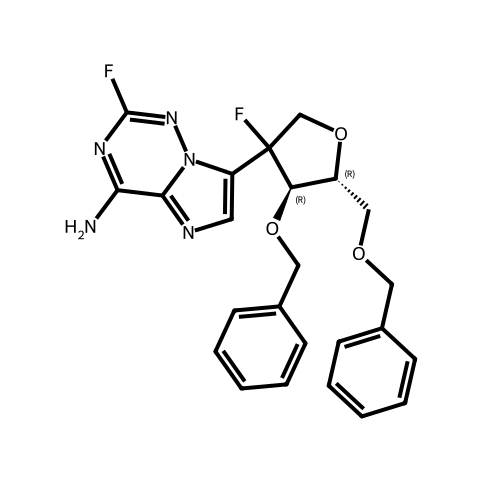 Nc1nc(F)nn2c(C3(F)CO[C@H](COCc4ccccc4)[C@H]3OCc3ccccc3)cnc12